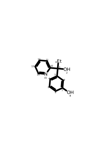 CCC(O)(c1cccc(O)c1)c1ccccn1